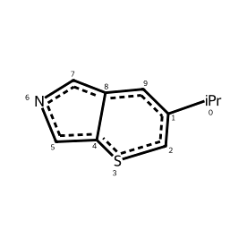 CC(C)c1csc2cncc-2c1